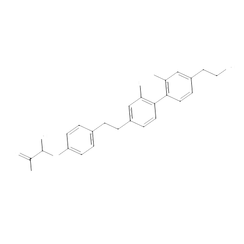 C=C(C)C(O)Oc1ccc(CCc2ccc(-c3ccc(CCO)cc3CC)c(F)c2)cc1